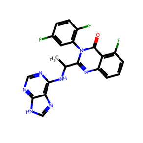 CC(Nc1ncnc2[nH]cnc12)c1nc2cccc(F)c2c(=O)n1-c1cc(F)ccc1F